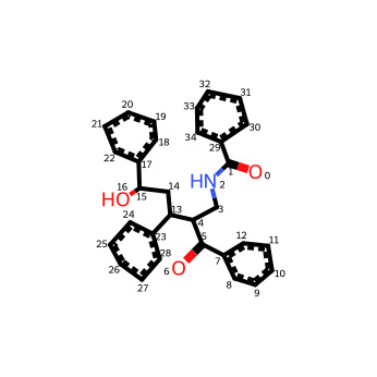 O=C(NCC(C(=O)c1ccccc1)C(CC(O)c1ccccc1)c1ccccc1)c1ccccc1